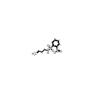 C=CCCNS(=O)(=O)c1ccccc1[N+](=O)[O-]